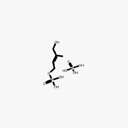 C/C(=C\COP(=O)(O)O)CO.O=P(O)(O)O